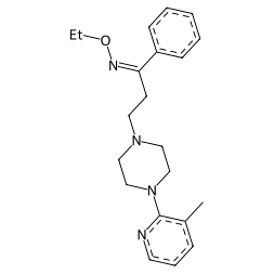 CCON=C(CCN1CCN(c2ncccc2C)CC1)c1ccccc1